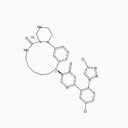 O=C1NCCCCC[C@H](n2cnc(-c3cc(Cl)ccc3-n3cc(Cl)nn3)cc2=O)c2cccc(c2)N2CCNC[C@H]12